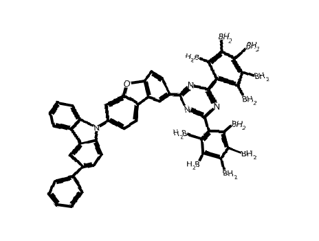 Bc1c(B)c(B)c(-c2nc(-c3ccc4oc5cc(-n6c7ccccc7c7cc(-c8ccccc8)ccc76)ccc5c4c3)nc(-c3c(B)c(B)c(B)c(B)c3B)n2)c(B)c1B